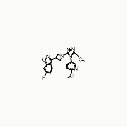 COCc1nnc(N2CC(c3noc4cc(F)ccc34)C2)n1-c1ccc(OC)nc1